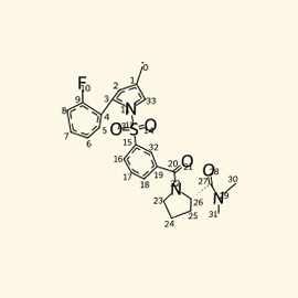 [CH2]c1cc(-c2ccccc2F)n(S(=O)(=O)c2cccc(C(=O)N3CCC[C@H]3C(=O)N(C)C)c2)c1